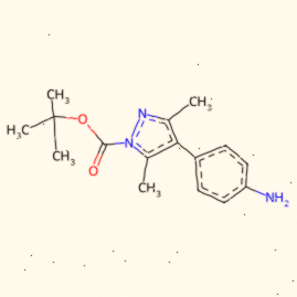 Cc1nn(C(=O)OC(C)(C)C)c(C)c1-c1ccc(N)cc1